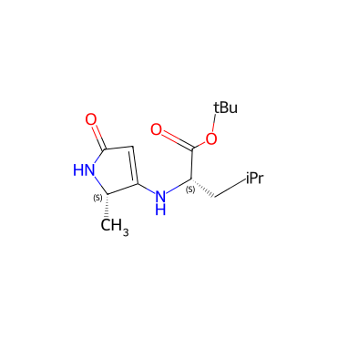 CC(C)C[C@H](NC1=CC(=O)N[C@H]1C)C(=O)OC(C)(C)C